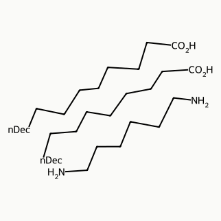 CCCCCCCCCCCCCCCCCC(=O)O.CCCCCCCCCCCCCCCCCC(=O)O.NCCCCCCN